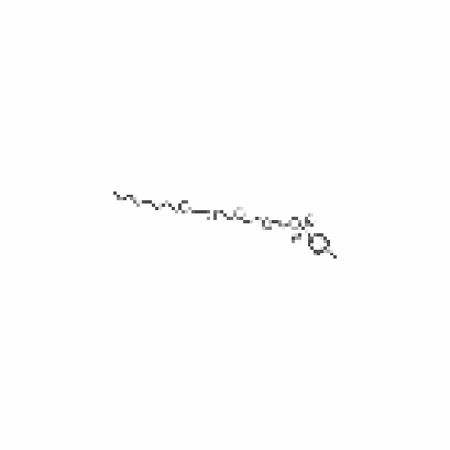 CCCCCCCCOCCOCCOCCOCCOS(=O)(=O)c1ccc(C)cc1